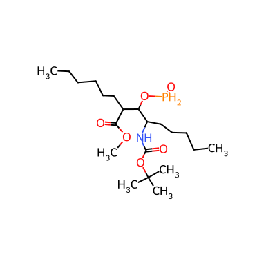 CCCCCCC(C(=O)OC)C(O[PH2]=O)C(CCCCC)NC(=O)OC(C)(C)C